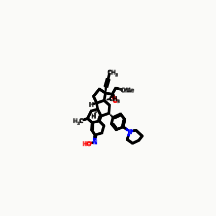 CC#C[C@]1(C(=O)COC)CC[C@H]2[C@@H]3CC(C)C4=CC(=NO)CCC4=C3[C@@H](c3ccc(N4CCCCC4)cc3)C[C@@]21C